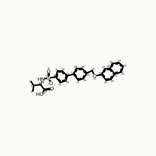 CC(C)[C@@H](NS(=O)(=O)c1ccc(-c2ccc(COc3ccc4ccccc4c3)cc2)cc1)C(=O)O